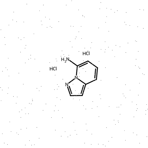 Cl.Cl.Nc1cccc2ccnn12